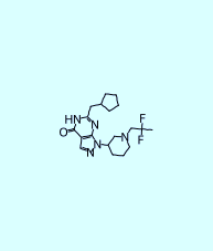 CC(F)(F)CN1CCCC(n2ncc3c(=O)[nH]c(CC4CCCC4)nc32)C1